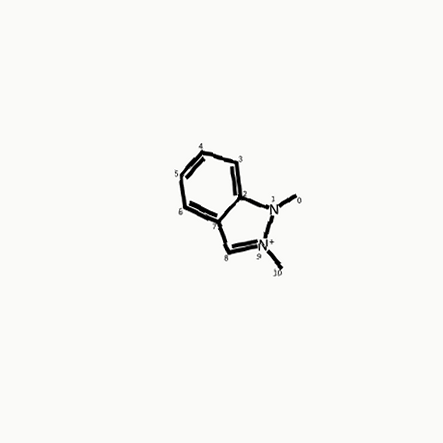 Cn1c2ccccc2c[n+]1C